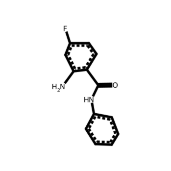 Nc1cc(F)ccc1C(=O)Nc1ccccc1